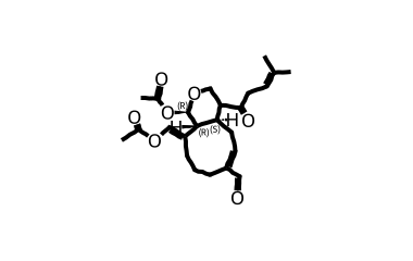 CC(=O)OC=C1CCCC(C=O)=CC[C@@H]2C(C(=O)CC=C(C)C)CO[C@H](OC(C)=O)[C@@H]12